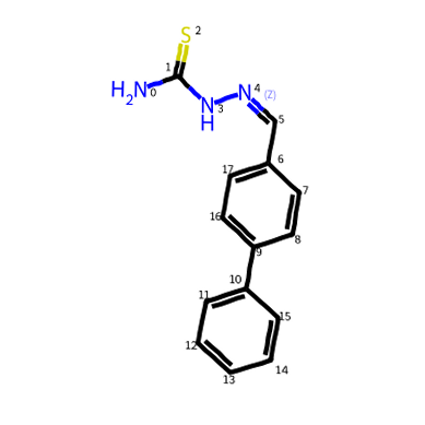 NC(=S)N/N=C\c1ccc(-c2ccccc2)cc1